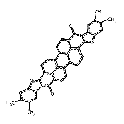 Cc1cc2nc3c4ccc5c6ccc7c(=O)n8c9cc(C)c(C)cc9nc8c8ccc(c9ccc(c(=O)n3c2cc1C)c4c95)c6c78